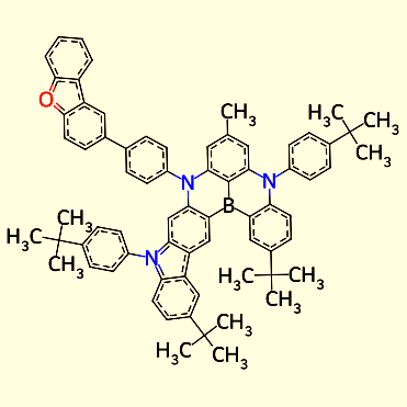 Cc1cc2c3c(c1)N(c1ccc(-c4ccc5oc6ccccc6c5c4)cc1)c1cc4c(cc1B3c1cc(C(C)(C)C)ccc1N2c1ccc(C(C)(C)C)cc1)c1cc(C(C)(C)C)ccc1n4-c1ccc(C(C)(C)C)cc1